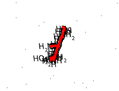 CC(=O)CNC(=O)[C@H](CC(=O)O)NC(=O)CNC(=O)[C@H](CCCNC(=N)N)NC(=O)[C@@H](N)CCCCNC(=O)CCOCCOCCOCCOCCNC(=O)C(CCC(=O)NCCOCCOCCOCCOCCC(=O)NCCCC[C@H](N)C(=O)NCC(=O)NCC(=O)NCC(=O)N[C@H](Cc1ccccc1)C(C)=O)NC(=O)CCOCCOCCOCCOCCN